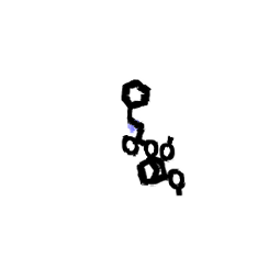 COC1C2C=CC(OC(=O)/C=C/c3ccccc3)(C2)C1OC